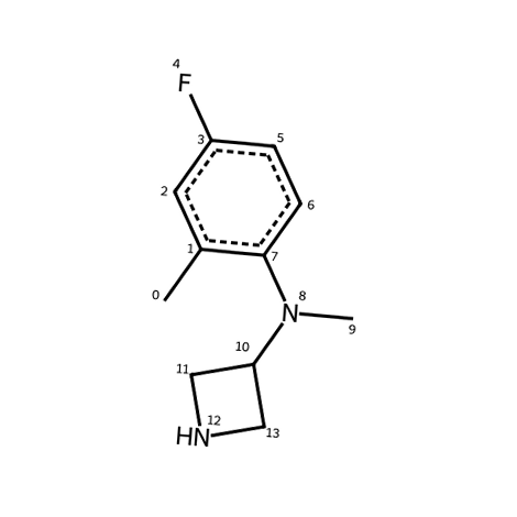 Cc1cc(F)ccc1N(C)C1CNC1